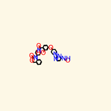 O=CNc1ccnc(N2CCC(Oc3ccc(C(=O)N4CCC(N5C(=O)OCc6ccccc65)CC4)c(O)c3)CC2)n1